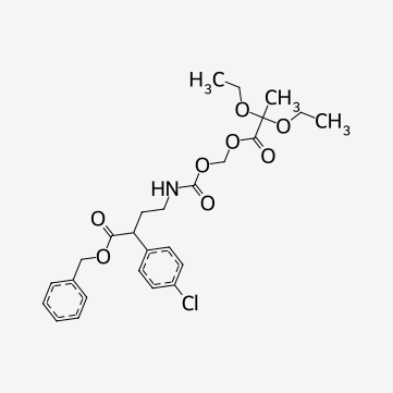 CCOC(C)(OCC)C(=O)OCOC(=O)NCCC(C(=O)OCc1ccccc1)c1ccc(Cl)cc1